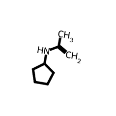 C=C(C)NC1CCCC1